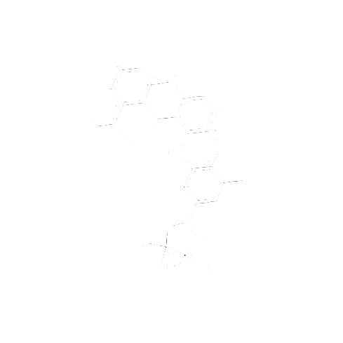 Cc1cc(B2OC(C)(C)C(C)(C)O2)cc(C)c1Oc1ccc2c(c1)Oc1c(cccc1B(O)O)S2